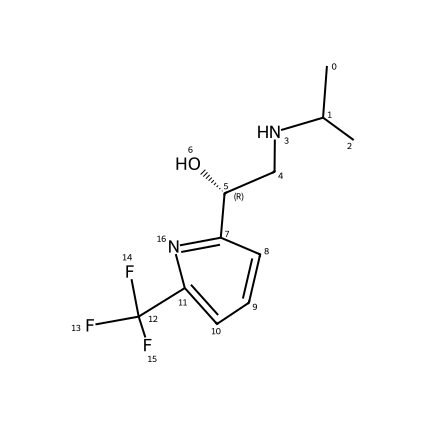 CC(C)NC[C@@H](O)c1cccc(C(F)(F)F)n1